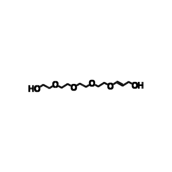 OCC=COCCOCCOCCOCCO